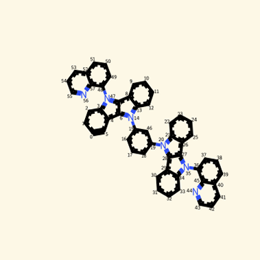 c1ccc2c(c#1)c1c(c3ccccc3n1-c1cccc(-n3c4ccccc4c4c3c3ccccc3n4-c3cccc4cccnc34)c1)n2-c1cccc2cccnc12